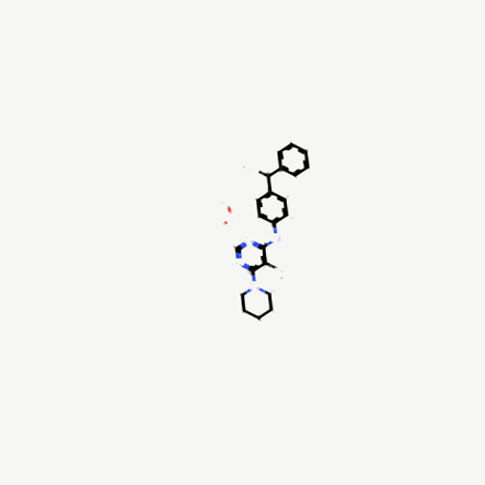 CCOC=O.N#CC(c1ccccc1)c1ccc(Nc2ncnc(N3CCCCC3)c2[N+](=O)[O-])cc1